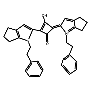 O=C1C(c2cc3c(n2CCc2ccccc2)CCC3)=C(O)/C1=C1\C=C2CCCC2=[N+]1CCc1ccccc1